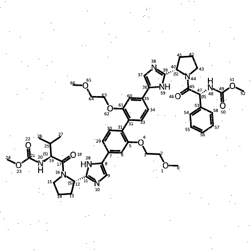 COCCOc1cc(-c2cnc([C@@H]3CCCN3C(=O)[C@@H](NC(=O)OC)C(C)C)[nH]2)ccc1-c1ccc(-c2cnc([C@@H]3CCCN3C(=O)[C@H](NC(=O)OC)c3ccccc3)[nH]2)cc1OCCOC